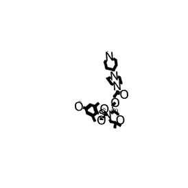 COc1cc(C)c(S(=O)(=O)N2CC(C)(C)OC[C@H]2COCC(=O)N2CCN(C3CCN(C)CC3)CC2)c(C)c1